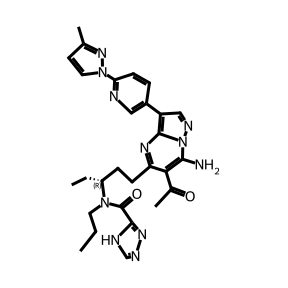 CCCN(C(=O)c1nnc[nH]1)[C@H](CC)CCc1nc2c(-c3ccc(-n4ccc(C)n4)nc3)cnn2c(N)c1C(C)=O